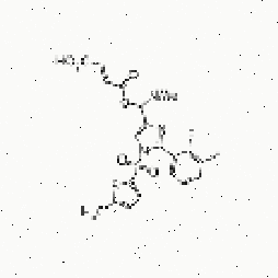 CNC(OC(=O)/C=C/C(=O)O)c1cn(S(=O)(=O)c2ccc(C)s2)c(-c2cccc(F)c2F)n1